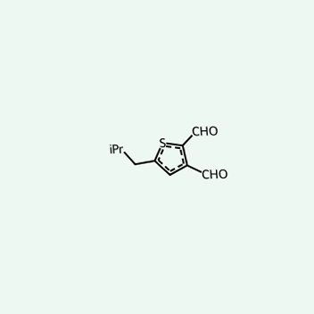 CC(C)Cc1cc(C=O)c(C=O)s1